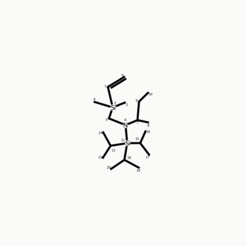 C=C[Si](C)(C)CN(C(C)CC)[Si](C(C)C)(C(C)C)C(C)C